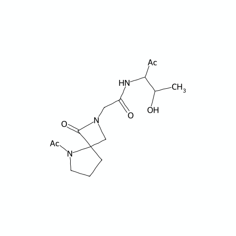 CC(=O)C(NC(=O)CN1CC2(CCCN2C(C)=O)C1=O)C(C)O